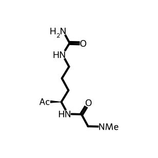 CNCC(=O)N[C@H](CCCNC(N)=O)C(C)=O